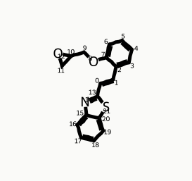 C(=Cc1ccccc1OCC1CO1)c1nc2ccccc2s1